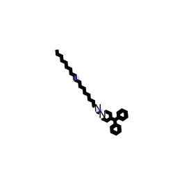 CCCCCCCC/C=C/CCCCCCCC/N=C/N1CCC(C(c2ccccc2)c2ccccc2)CC1